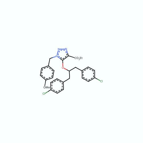 CCOC(=O)c1nnn(Cc2ccc(OC)cc2)c1OC(Cc1ccc(Cl)cc1)Cc1ccc(Cl)cc1